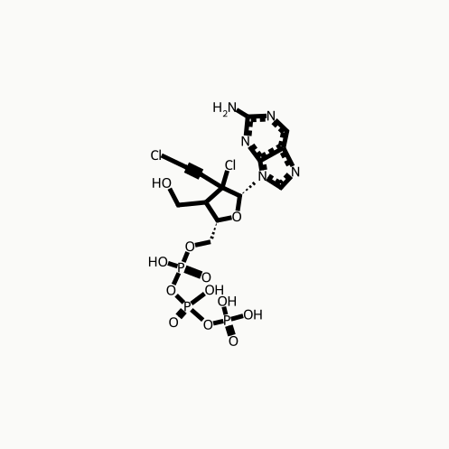 Nc1ncc2ncn([C@@H]3O[C@H](COP(=O)(O)OP(=O)(O)OP(=O)(O)O)C(CO)C3(Cl)C#CCl)c2n1